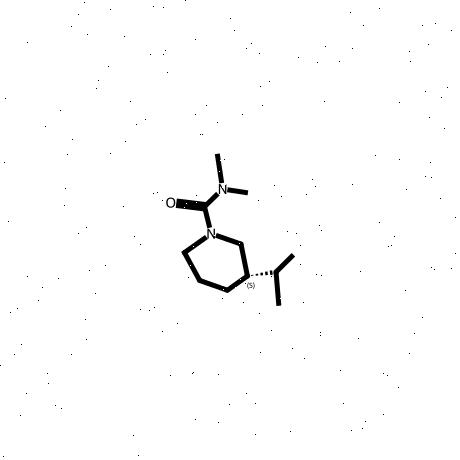 CC(C)[C@@H]1CCCN(C(=O)N(C)C)C1